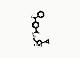 O=C(N=[N+]=Nc1cc(C2CC2)n[nH]1)c1ccc(C(=O)c2ccccc2)cc1